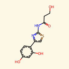 O=C(CCO)Nc1nc(-c2ccc(O)cc2O)cs1